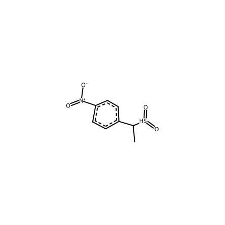 CC(c1ccc([N+](=O)[O-])cc1)[SH](=O)=O